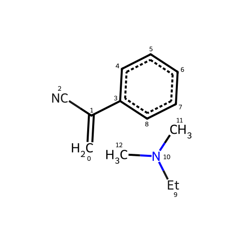 C=C(C#N)c1ccccc1.CCN(C)C